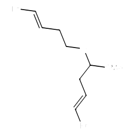 CCC=CCCOC(CC=CCC)SC